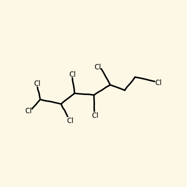 ClCCC(Cl)C(Cl)C(Cl)C(Cl)C(Cl)Cl